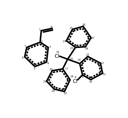 C=Cc1ccccc1.Clc1ccccc1C(Cl)(c1ccccc1)c1ccccc1